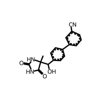 CC1(C(O)c2ccc(-c3cccc(C#N)c3)cc2)NC(=O)NC1=O